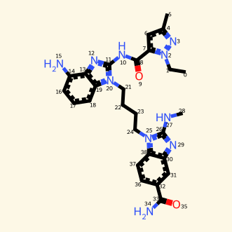 CCn1nc(C)cc1C(=O)Nc1nc2c(N)cccc2n1CCCCn1c(NC)nc2cc(C(N)=O)ccc21